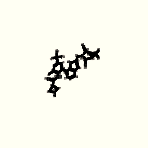 Cc1cc(C(F)(F)F)nc(-c2nccc3cc(CN4C(=O)C5C(C4=O)C5(C)C)sc23)c1NC(=O)C1CNC1